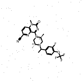 CC(c1ccc(OC(F)(F)F)c(F)c1)N1C[C@H](C)N(c2nc(=O)n(C)c3ccc(C#N)nc23)C[C@H]1C